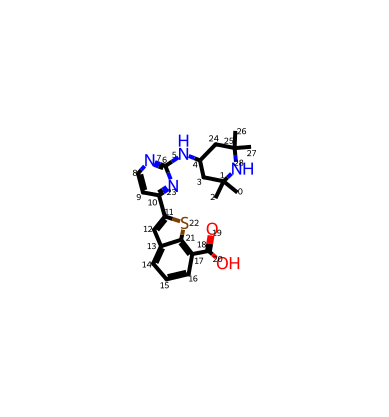 CC1(C)CC(Nc2nccc(-c3cc4cccc(C(=O)O)c4s3)n2)CC(C)(C)N1